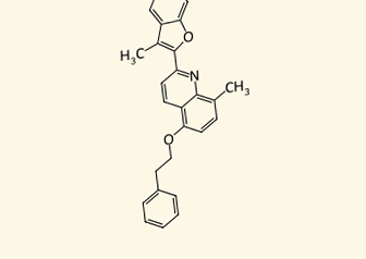 Cc1c(-c2ccc3c(OCCc4ccccc4)ccc(C)c3n2)oc2ccccc12